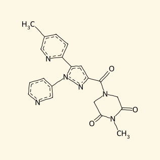 Cc1ccc(-c2cc(C(=O)N3CC(=O)N(C)C(=O)C3)nn2-c2cccnc2)nc1